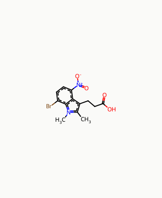 Cc1c(CCC(=O)O)c2c([N+](=O)[O-])ccc(Br)c2n1C